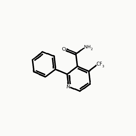 NC(=O)c1c(C(F)(F)F)ccnc1-c1ccccc1